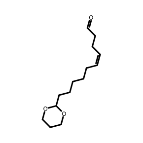 O=CCC/C=C\CCCCCC1OCCCO1